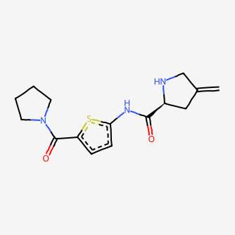 C=C1CN[C@H](C(=O)Nc2ccc(C(=O)N3CCCC3)s2)C1